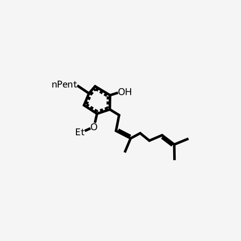 CCCCCc1cc(O)c(CC=C(C)CCC=C(C)C)c(OCC)c1